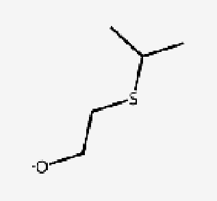 CC(C)SCC[O]